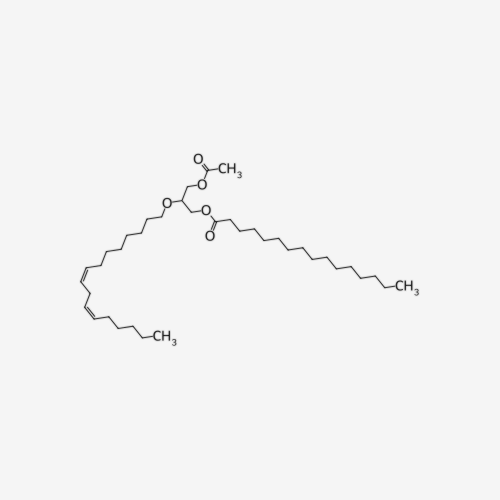 CCCCC/C=C\C/C=C\CCCCCCCOC(COC(C)=O)COC(=O)CCCCCCCCCCCCCCC